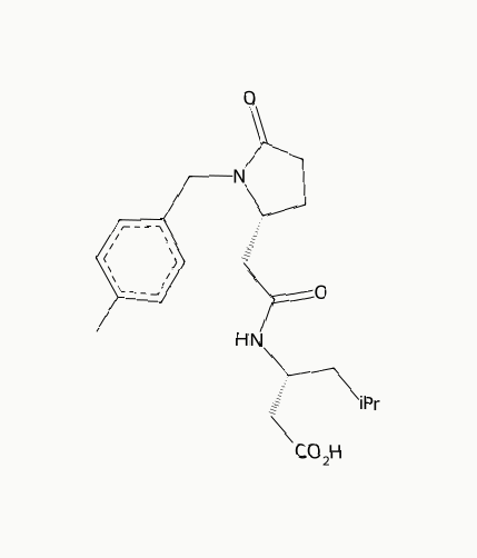 Cc1ccc(CN2C(=O)CC[C@@H]2CC(=O)N[C@@H](CC(=O)O)CC(C)C)cc1